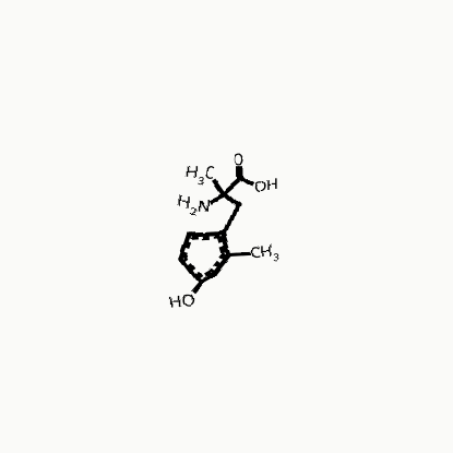 Cc1cc(O)ccc1CC(C)(N)C(=O)O